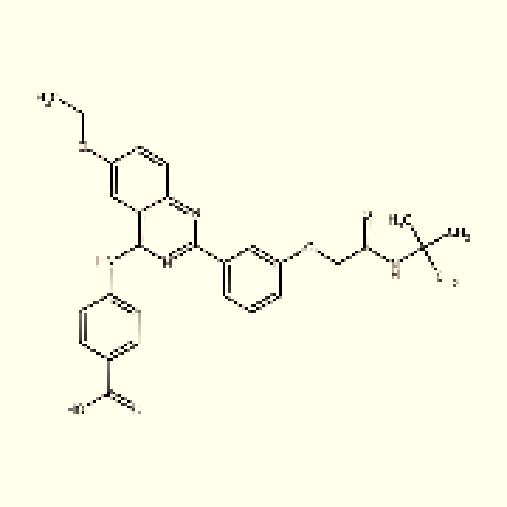 CCOc1ccc2nc(-c3cccc(OCC(=O)NC(C)(C)C)c3)nc(Nc3ccc(C(=O)O)cc3)c2c1